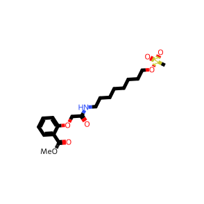 COC(=O)c1ccccc1OCC(=O)NCCCCCCCCOS(C)(=O)=O